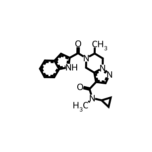 CC1Cn2ncc(C(=O)N(C)C3CC3)c2CN1C(=O)c1cc2ccccc2[nH]1